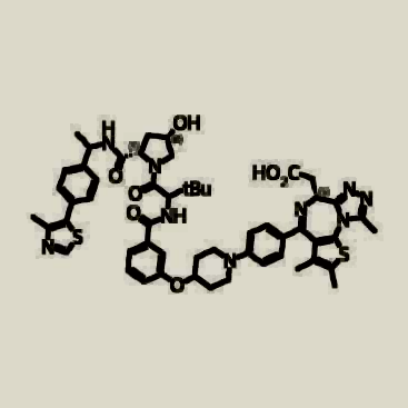 Cc1ncsc1-c1ccc(C(C)NC(=O)[C@@H]2C[C@@H](O)CN2C(=O)C(NC(=O)c2cccc(OC3CCN(c4ccc(C5=N[C@@H](CC(=O)O)c6nnc(C)n6-c6sc(C)c(C)c65)cc4)CC3)c2)C(C)(C)C)cc1